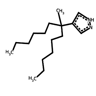 CCCCCCC(C)(CCCCCC)c1cn[nH]c1